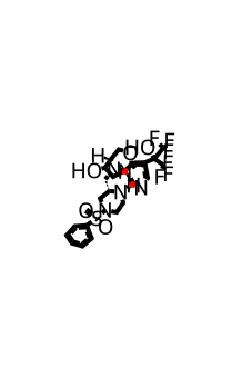 O=S(=O)(c1ccccc1)N1CCN(c2ncc(C(O)(C(F)(F)F)C(F)(F)F)cn2)[C@@H](CN2[C@@H]3COC[C@H]2C(O)C3)C1